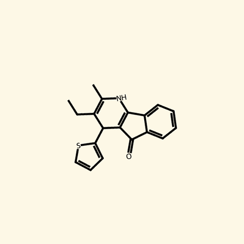 CCC1=C(C)NC2=C(C(=O)c3ccccc32)C1c1cccs1